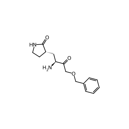 N[C@@H](C[C@@H]1CCNC1=O)C(=O)COCc1ccccc1